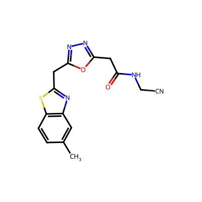 Cc1ccc2sc(Cc3nnc(CC(=O)NCC#N)o3)nc2c1